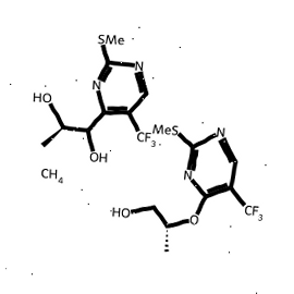 C.CSc1ncc(C(F)(F)F)c(C(O)[C@@H](C)O)n1.CSc1ncc(C(F)(F)F)c(O[C@H](C)CO)n1